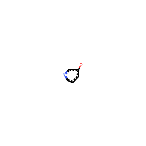 [O]c1cccnc1